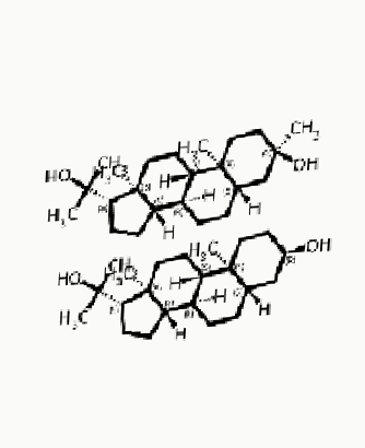 CC(C)(O)[C@H]1CC[C@H]2[C@@H]3CC[C@H]4C[C@H](O)CC[C@]4(C)[C@H]3CC[C@]12C.CC(C)(O)[C@H]1CC[C@H]2[C@@H]3CC[C@H]4C[C@](C)(O)CC[C@]4(C)[C@H]3CC[C@]12C